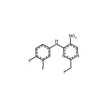 O=[N+]([O-])c1cnc(CI)nc1Nc1ccc(I)c(F)c1